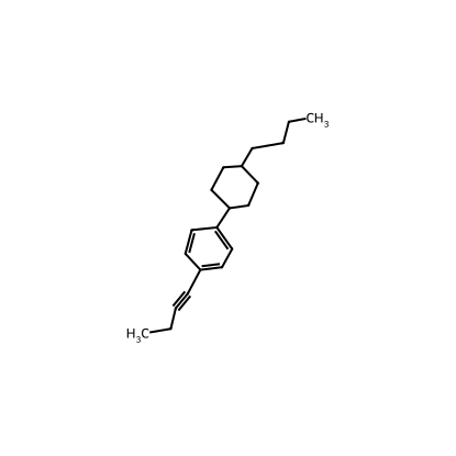 CCC#Cc1ccc(C2CCC(CCCC)CC2)cc1